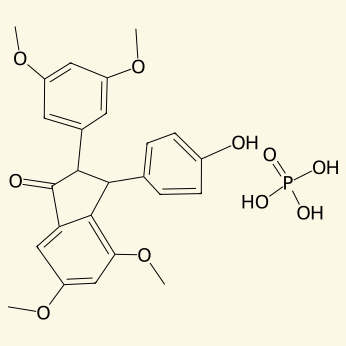 COc1cc(OC)cc(C2C(=O)c3cc(OC)cc(OC)c3C2c2ccc(O)cc2)c1.O=P(O)(O)O